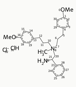 COc1ccc(CCC[N+](C)(CCCc2ccc(OC)cc2)CC(N)c2ccccc2)cc1.Cl.[Cl-]